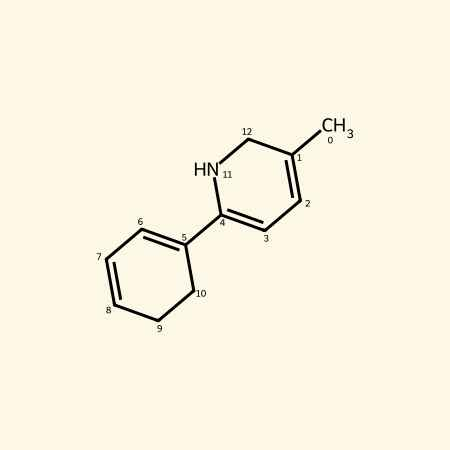 CC1=CC=C(C2=CC=CCC2)NC1